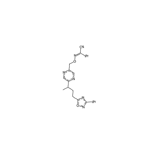 CC(C)/C(C#N)=N\OCc1cnc(C(C)CCc2nc(C(C)C)no2)cn1